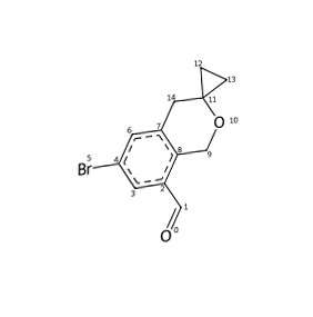 O=Cc1cc(Br)cc2c1COC1(CC1)C2